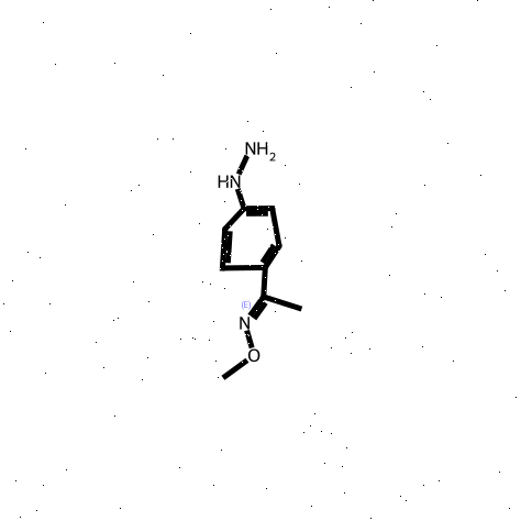 CO/N=C(\C)c1ccc(NN)cc1